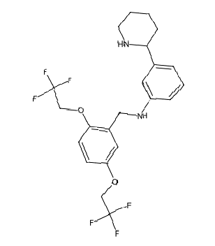 FC(F)(F)COc1ccc(OCC(F)(F)F)c(CNc2cccc(C3CCCCN3)c2)c1